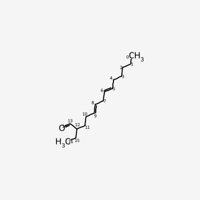 CCCCC/C=C/C/C=C/CCC(C=O)CC